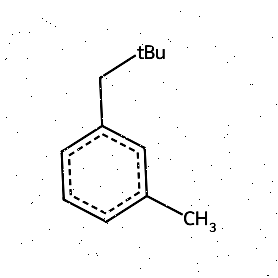 Cc1cccc(CC(C)(C)C)c1